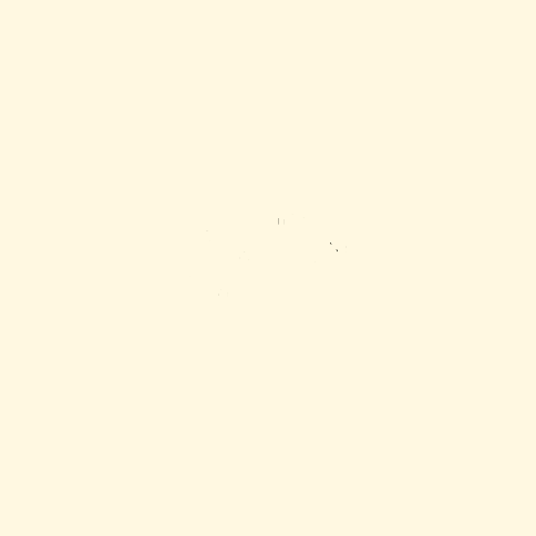 CCCCCCCCC(=O)OS(=O)(=O)[O-].Oc1ccccc1.[Na+]